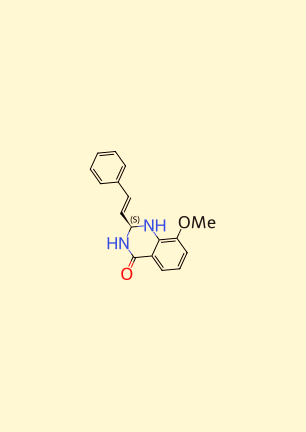 COc1cccc2c1N[C@H](C=Cc1ccccc1)NC2=O